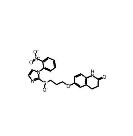 O=C1CCc2cc(OCCC[S+]([O-])c3nccn3-c3ccccc3[N+](=O)[O-])ccc2N1